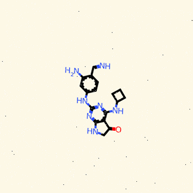 N=Cc1ccc(Nc2nc3c(c(NC4CCC4)n2)C(=O)CN3)cc1N